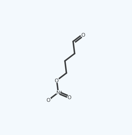 O=CCCCO[N+](=O)[O-]